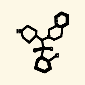 O=S(=O)(c1ccccc1Cl)C(C1CCNCC1)N1CCc2ccccc2C1